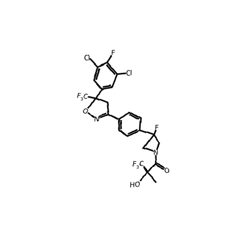 CC(O)(C(=O)N1CC(F)(c2ccc(C3=NOC(c4cc(Cl)c(F)c(Cl)c4)(C(F)(F)F)C3)cc2)C1)C(F)(F)F